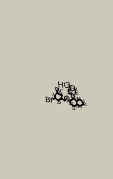 Brc1cc(Br)cc(CO[C@H]2CCc3ccccc3[C@H]2N2CCOCC2)c1.Cl